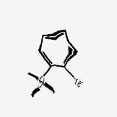 C[Si](C)(C)c1ccccc1[Te]